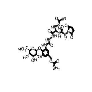 BC(=O)OCc1ccc(O[C@@H]2O[C@H](C(=O)O)[C@@H](O)[C@H](O)[C@H]2O)c(NC(=O)BNC(=O)C(BNC(=O)C(C)C)NC(=O)BN2C(=O)C=CC2=O)c1